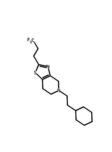 FC(F)(F)CCc1nc2c(s1)CCN(CCC1CCCCC1)C2